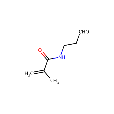 C=C(C)C(=O)NCCC=O